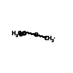 [CH2]CCCCCCOCCCCCCc1ccc(OC)cc1